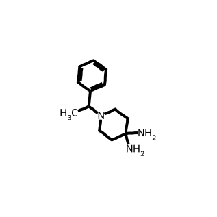 CC(c1ccccc1)N1CCC(N)(N)CC1